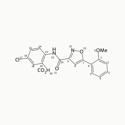 COc1ccccc1-c1cc(C(=O)Nc2ccc(Cl)cc2C(=O)O)no1